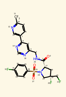 O=C(NCc1cc(-c2ccc(C(F)(F)F)nc2)ncn1)[C@@H]1C[C@@](F)(CF)CN1S(=O)(=O)c1ccc(F)cc1